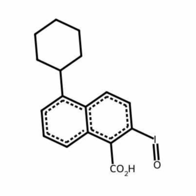 O=Ic1ccc2c(C3CCCCC3)cccc2c1C(=O)O